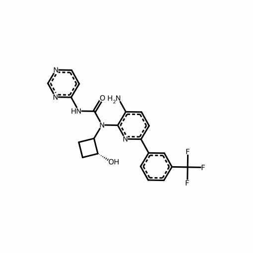 Nc1ccc(-c2cccc(C(F)(F)F)c2)nc1N(C(=O)Nc1ccncn1)C1CC[C@H]1O